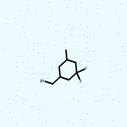 CC(C)CC1CC(C)CC(F)(F)C1